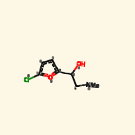 CNCC(O)c1ccc(Cl)o1